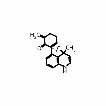 C=C1CCC=C(c2cccc3c2C(C)(C)C=CN3)C1=O